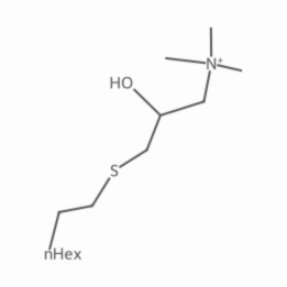 CCCCCCCCSCC(O)C[N+](C)(C)C